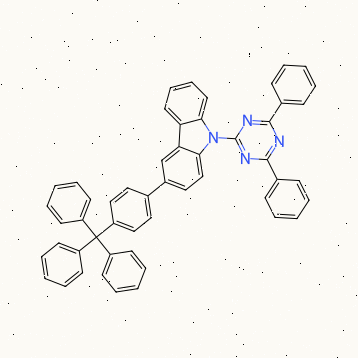 c1ccc(-c2nc(-c3ccccc3)nc(-n3c4ccccc4c4cc(-c5ccc(C(c6ccccc6)(c6ccccc6)c6ccccc6)cc5)ccc43)n2)cc1